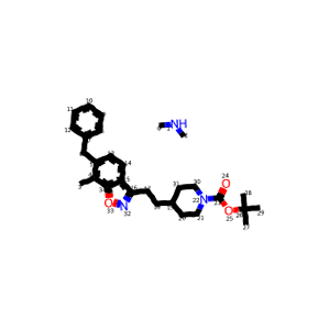 CNC.Cc1c(Cc2ccccc2)ccc2c(CCC3CCN(C(=O)OC(C)(C)C)CC3)noc12